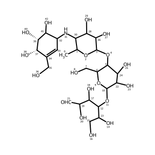 CC1OC(OC2C(CO)OC(OC(C(O)CO)C(O)C(O)C=O)C(O)C2O)C(O)C(O)C1NC1C=C(CO)[C@H](O)[C@H](O)C1O